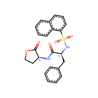 O=C(N[C@H]1CCOC1=O)[C@H](Cc1ccccc1)NS(=O)(=O)c1cccc2ccccc12